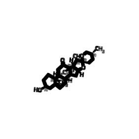 C[C@@H]1CC[C@@]2(OC1)O[C@H]1C[C@H]3[C@@H]4CC=C5C[C@@H](O)CC[C@]5(C)[C@H]4CC(=O)[C@]3(C)[C@H]1[C@@H]2C